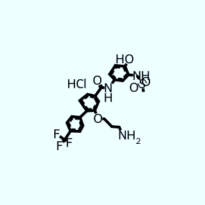 CS(=O)(=O)Nc1cc(NC(=O)c2ccc(-c3ccc(C(F)(F)F)cc3)c(OCCCN)c2)ccc1O.Cl